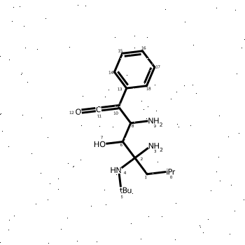 CC(C)CC(N)(NC(C)(C)C)C(O)C(N)C(=C=O)c1ccccc1